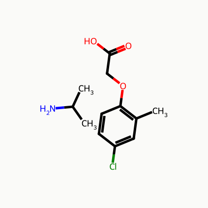 CC(C)N.Cc1cc(Cl)ccc1OCC(=O)O